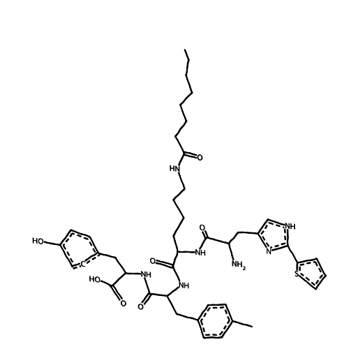 CCCCCCCC(=O)NCCCCC(NC(=O)C(N)Cc1c[nH]c(-c2cccs2)n1)C(=O)NC(Cc1ccc(C)cc1)C(=O)NC(Cc1ccc(O)cc1)C(=O)O